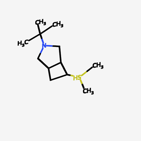 C[SH](C)C1CC2CN(C(C)(C)C)CC21